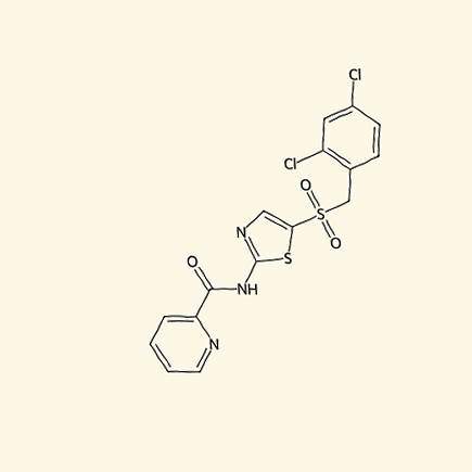 O=C(Nc1ncc(S(=O)(=O)Cc2ccc(Cl)cc2Cl)s1)c1ccccn1